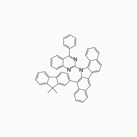 CC1(C)c2ccccc2-c2ccc(-c3c4ccccc4cc4c5ccc6ccccc6c5n(-c5nc(-c6ccccc6)c6ccccc6n5)c34)cc21